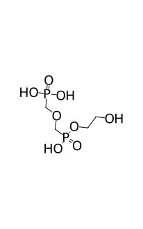 O=P(O)(O)COCP(=O)(O)OCCO